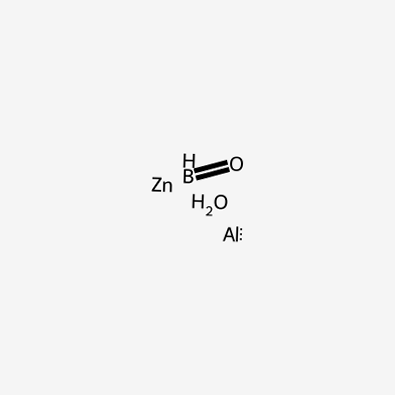 B=O.O.[Al].[Zn]